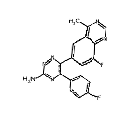 Cc1ncnc2c(F)cc(-c3nnc(N)nc3-c3ccc(F)cc3)cc12